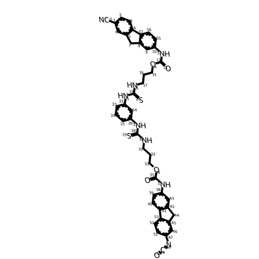 N#Cc1ccc2c(c1)Cc1cc(NC(=O)OCCCNC(=S)Nc3cccc(NC(=S)NCCCOC(=O)Nc4ccc5c(c4)Cc4cc(N=C=O)ccc4-5)c3)ccc1-2